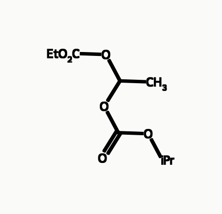 CCOC(=O)OC(C)OC(=O)OC(C)C